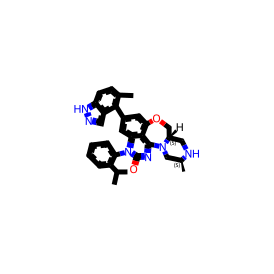 Cc1ccc2[nH]ncc2c1-c1cc2c3c(nc(=O)n(-c4ccccc4C(C)C)c3c1)N1C[C@H](C)NC[C@H]1CO2